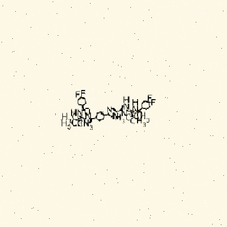 CC(C)(C)[C@H](NC(=O)C1CCC(F)(F)CC1)c1nc(-c2ccc(-c3cnc(-c4c[nH]c([C@@H](NC(=O)C5CCC(F)(F)CC5)C(C)(C)C)n4)cn3)cc2)c[nH]1